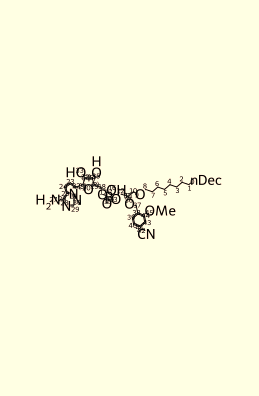 CCCCCCCCCCCCCCCCCCOC[C@H](COP(=O)(O)OC[C@H]1O[C@@H](c2ccc3c(N)ncnn23)[C@H](O)[C@@H]1O)OCc1ccc(C#N)cc1OC